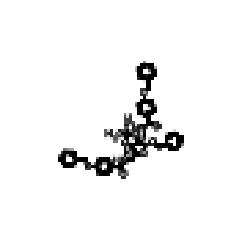 CC1(C)O[C@@H]2C(CNC(=O)c3ccc(OCc4ccccc4)cc3)O[C@@H](OCc3ccccc3)[C@]2(CNC(=O)c2ccc(OCc3ccccc3)cc2)O1